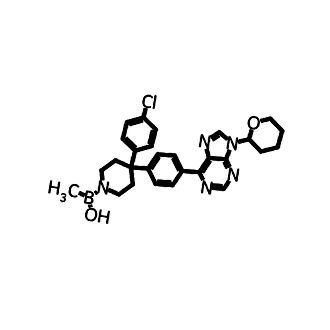 CB(O)N1CCC(c2ccc(Cl)cc2)(c2ccc(-c3ncnc4c3ncn4C3CCCCO3)cc2)CC1